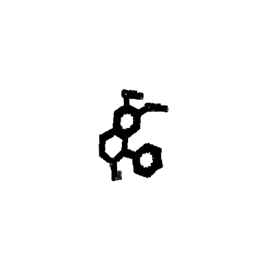 CCN1CCc2cc(OC)c(OC)cc2C1c1ccccc1